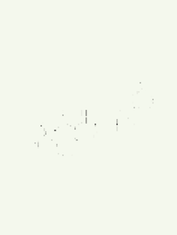 CCC1CC2(C(N)=O)CCCC(C2)C1NC(=O)CNS(=O)(=O)c1cccc(C)c1C